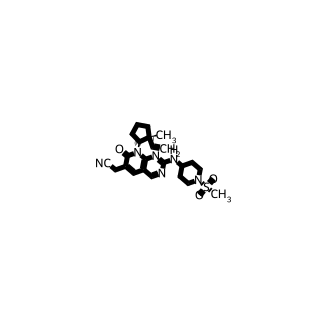 C=C[C@]1(C)CCC[C@H]1n1c(=O)c(CC#N)cc2cnc(NC3CCN(S(C)(=O)=O)CC3)nc21